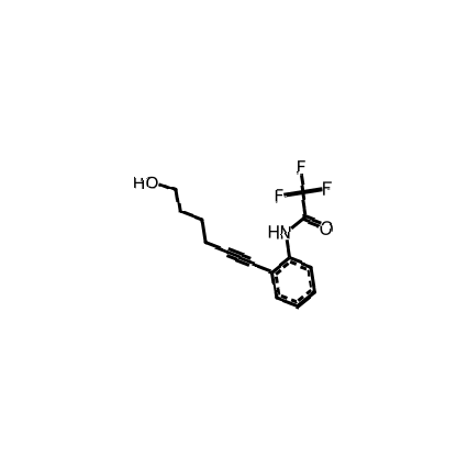 O=C(Nc1ccccc1C#CCCCCO)C(F)(F)F